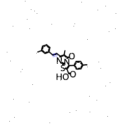 Cc1ccc(-c2c(C(=O)O)sc3nc(/C=C/c4cccc(C)c4)c(C)c(=O)n23)cc1